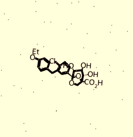 CCOc1ccc(Cc2cc([C@]34OC[C@](C(=O)O)(O3)[C@@H](O)[C@H](O)[C@H]4O)ccc2Cl)cc1